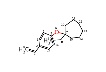 C=Cc1ccc(OC2(CC)CCCCCC2)cc1